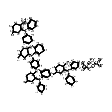 CC1CCC(C(C)C)C(P(c2ccccc2)c2ccccc2)C1.CC1CCC(C(C)C)C(P(c2ccccc2)c2ccccc2)C1.CC1CCC(C(C)C)C(P(c2ccccc2)c2ccccc2)C1.CC1CCC(C(C)C)C(P(c2ccccc2)c2ccccc2)C1.[O-][Cl+3]([O-])([O-])[O-].[O-][Cl+3]([O-])([O-])[O-].[Pd+2]